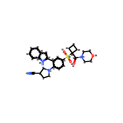 N#CC1CCN(c2ccc(S(=O)(=O)C3(C(=O)N4CCOCC4)CCC3)cc2-c2cc3ccccc3[nH]2)C1